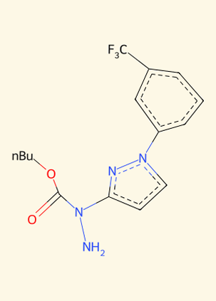 CCCCOC(=O)N(N)c1ccn(-c2cccc(C(F)(F)F)c2)n1